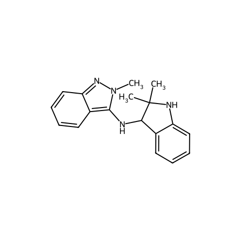 Cn1nc2ccccc2c1NC1c2ccccc2NC1(C)C